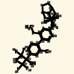 CCc1cc(CN2CC3CCC(C2)N3S(C)(=O)=O)ncc1-c1ccc(C(O)(C(F)(F)F)C(F)(F)F)cc1Cl